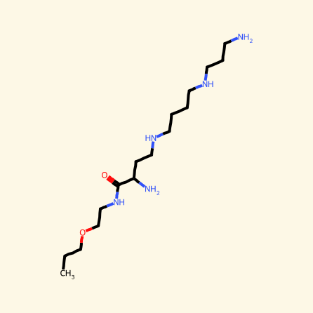 CCCOCCNC(=O)C(N)CCNCCCCNCCCN